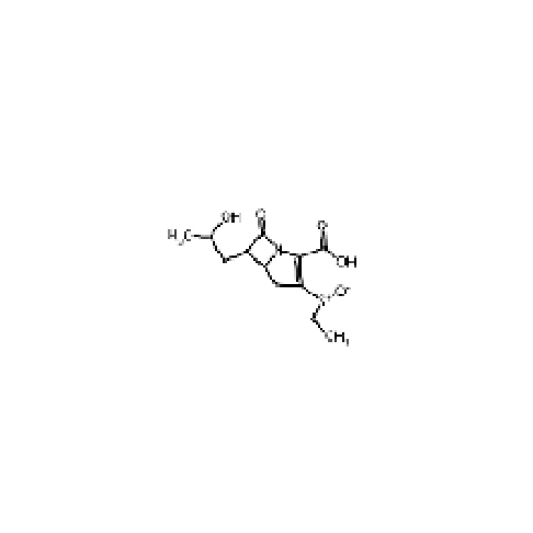 CC[S+]([O-])C1=C(C(=O)O)N2C(=O)C(CC(C)O)C2C1